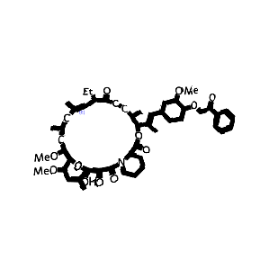 CCC1/C=C(\C)CC(C)CC(OC)C2OC(O)(C(=O)C(=O)N3CCCCC3C(=O)OC(C(C)=CC3CCC(OCC(=O)c4ccccc4)C(OC)C3)C(C)CCC1=O)C(C)CC2OC